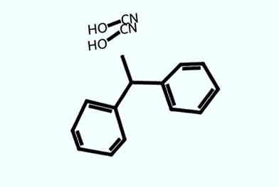 CC(c1ccccc1)c1ccccc1.N#CO.N#CO